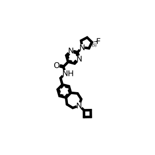 O=C(NCc1ccc2c(c1)CCN(C1CCC1)CC2)c1cnc(N2CC[C@H](F)C2)nc1